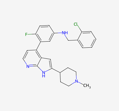 CN1CCC(c2cc3c(-c4cc(NCc5ccccc5Cl)ccc4F)ccnc3[nH]2)CC1